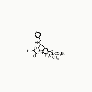 CCOC(=O)C(C)(C)Oc1ccc2c(c1)CC(NCc1ccccc1)CC2.O=C(O)C(=O)O